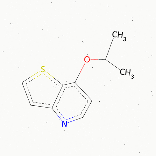 CC(C)Oc1ccnc2ccsc12